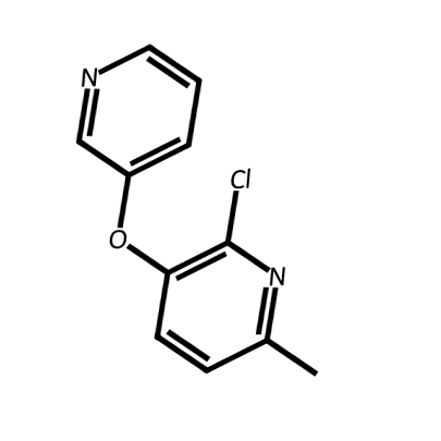 Cc1ccc(Oc2cccnc2)c(Cl)n1